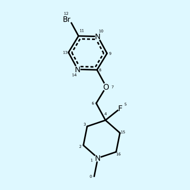 CN1CCC(F)(COc2cnc(Br)cn2)CC1